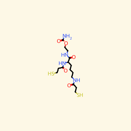 NC(=O)OCCNC(=O)C(CCCCNC(=O)CCS)NC(=O)CCS